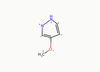 COC1=C[N]NC=C1